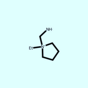 CC[N+]1(C[NH])CCCC1